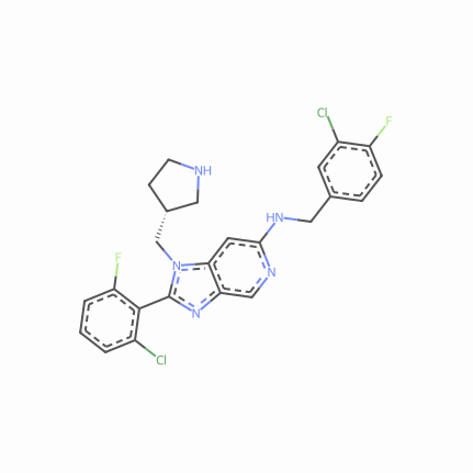 Fc1ccc(CNc2cc3c(cn2)nc(-c2c(F)cccc2Cl)n3C[C@@H]2CCNC2)cc1Cl